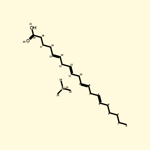 CCCCCC=CCC=CCC=CCC=CCCCC(=O)O.CN(C)C